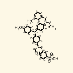 CCN(Cc1cccc(C)c1)c1ccc(C(c2ccc(C)cc2)c2ccc(N(CC)Cc3cccc(S(=O)(=O)O)c3)cc2)cc1